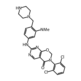 CNc1cc(Nc2ncc3c(n2)OCN(c2c(Cl)cccc2Cl)C3=O)ccc1CN1CCNCC1